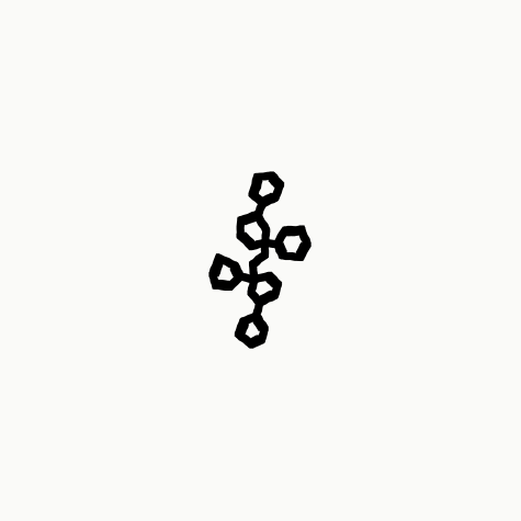 C1=CC(CCC2(c3ccccc3)C=CC=C(c3ccccc3)C2)(c2ccccc2)CC(c2ccccc2)=C1